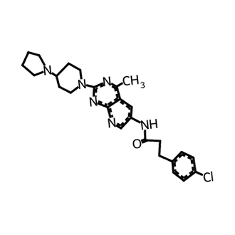 Cc1nc(N2CCC(N3CCCC3)CC2)nc2ncc(NC(=O)CCc3ccc(Cl)cc3)cc12